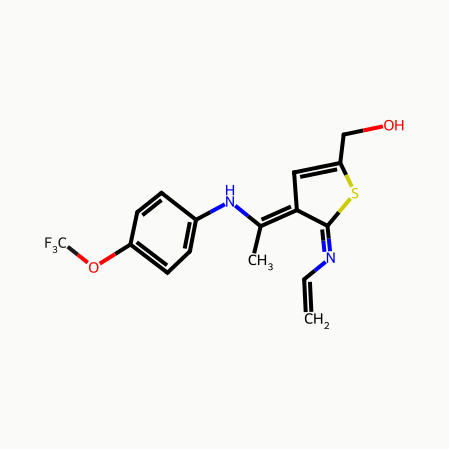 C=C/N=C1/SC(CO)=C/C1=C(/C)Nc1ccc(OC(F)(F)F)cc1